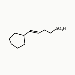 O=S(=O)(O)CCC=CC1CCCCC1